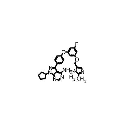 Cc1ncc(COc2cc(F)cc(Oc3ccc(-c4nn(C5CCCC5)c5ncnc(N)c45)cc3)c2)n1C